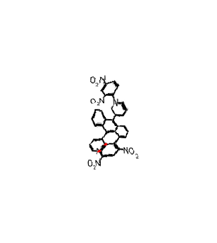 O=[N+]([O-])c1ccc(-c2cccc3c(C4=CC=CN(c5ccc([N+](=O)[O-])cc5[N+](=O)[O-])C4)c4ccccc4c(-c4cccnc4)c23)c([N+](=O)[O-])c1